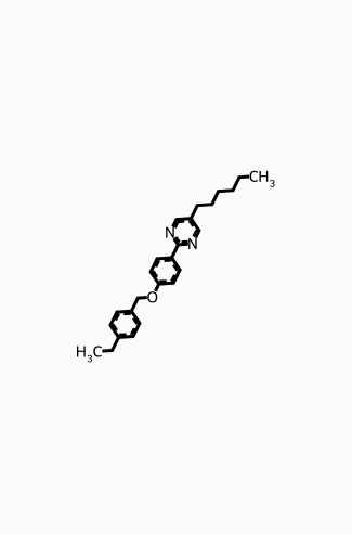 CCCCCCc1cnc(-c2ccc(OCc3ccc(CC)cc3)cc2)nc1